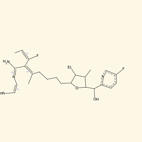 C\C=C(F)/C(=C(/C)CCCCC1OC(C(O)c2ccc(F)cn2)C(C)C1CC)C(/N)=N\C=C/CCC